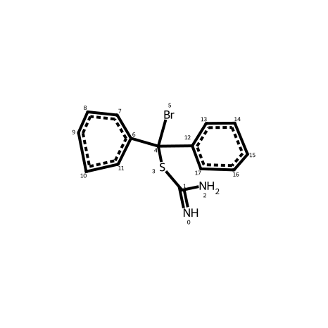 N=C(N)SC(Br)(c1ccccc1)c1ccccc1